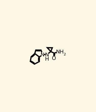 NC(=O)C1(Nn2ccc3ccccc32)CC1